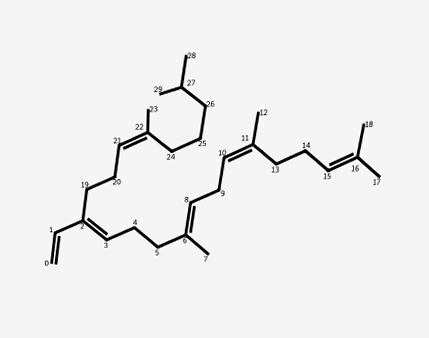 C=CC(=CCCC(C)=CCC=C(C)CCC=C(C)C)CCC=C(C)CCCC(C)C